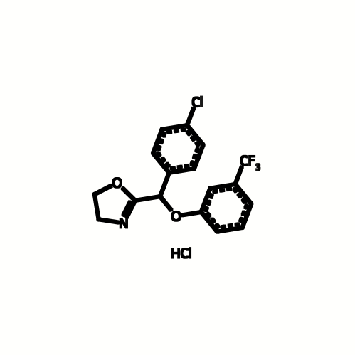 Cl.FC(F)(F)c1cccc(OC(C2=NCCO2)c2ccc(Cl)cc2)c1